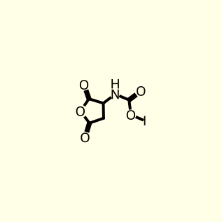 O=C1CC(NC(=O)OI)C(=O)O1